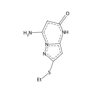 CCSc1cc2[nH]c(=O)cc(N)n2n1